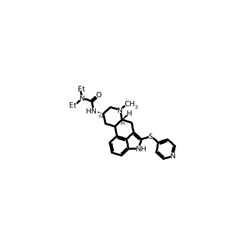 CCN(CC)C(=O)N[C@H]1CC2c3cccc4[nH]c(Sc5ccncc5)c(c34)C[C@H]2N(C)C1